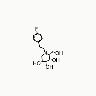 OC[C@H]1[C@@H](O)[C@H](O)[C@@H](O)CN1CCc1ccc(F)cc1